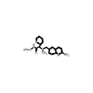 CCCCCNC(=O)C(c1ccccn1)N(C)Cc1ccc2nc(N)ccc2c1